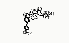 CC(C)CC(NC(=O)OC(C)(C)C)C(=O)OC1COc2ccc(-c3ccc([N+](=O)O)cc3)cc2C1=O